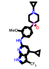 COc1cc(P2(=O)CCN(C3CC3)CC2)ccc1Nc1cc(C2CC2)c2c(C(F)(F)F)c[nH]c2n1